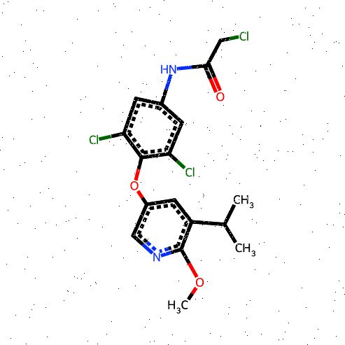 COc1ncc(Oc2c(Cl)cc(NC(=O)CCl)cc2Cl)cc1C(C)C